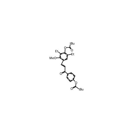 CCc1cc(/C=C/C(=O)c2ccc(OC(=O)C(C)(C)C)cc2)c(OC)c(CC)c1OC(=O)C(C)(C)C